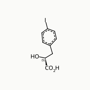 O=C(O)[C@@H](O)Cc1ccc(I)cc1